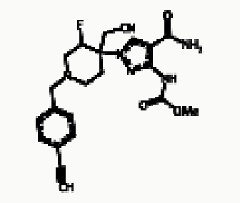 C#Cc1ccc(CN2CCC(CC#N)(n3cc(C(N)=O)c(NC(=O)OC)n3)C(F)C2)cc1